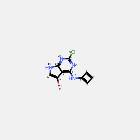 Clc1nc(NC2=CC=C2)c2c(Br)c[nH]c2n1